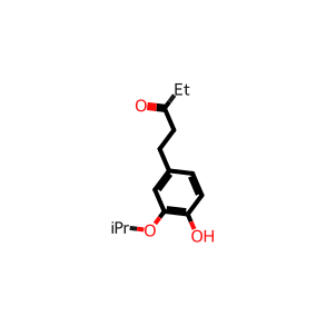 CCC(=O)CCc1ccc(O)c(OC(C)C)c1